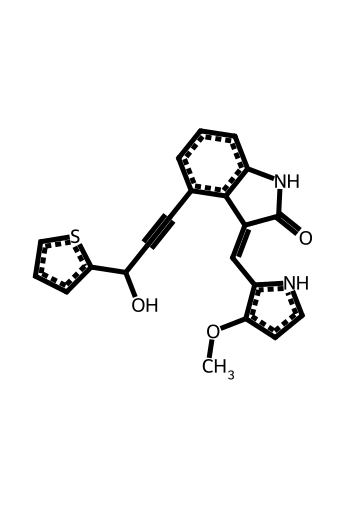 COc1cc[nH]c1C=C1C(=O)Nc2cccc(C#CC(O)c3cccs3)c21